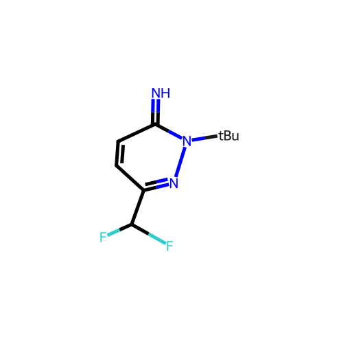 CC(C)(C)n1nc(C(F)F)ccc1=N